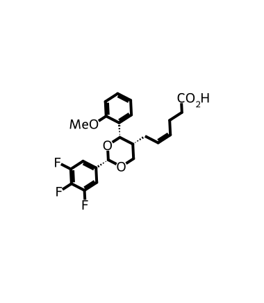 COc1ccccc1[C@H]1O[C@@H](c2cc(F)c(F)c(F)c2)OC[C@H]1C/C=C\CCC(=O)O